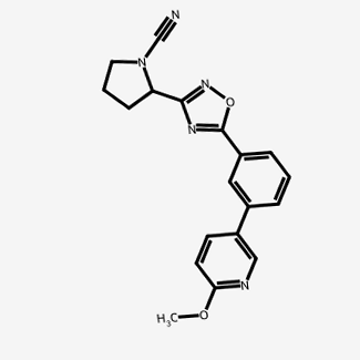 COc1ccc(-c2cccc(-c3nc(C4CCCN4C#N)no3)c2)cn1